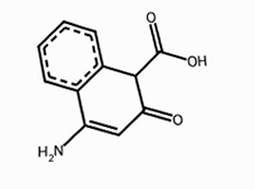 NC1=CC(=O)C(C(=O)O)c2ccccc21